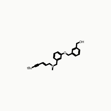 CN(CC=CC#CC(C)(C)C)Cc1cccc(OCc2cccc(CO)c2)c1